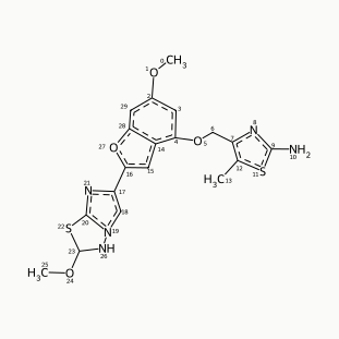 COc1cc(OCc2nc(N)sc2C)c2cc(-c3cn4c(n3)SC(OC)N4)oc2c1